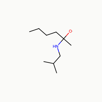 CCCCC(C)([O])NCC(C)C